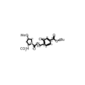 CO[C@@H]1C[C@@H](C(=O)O)N(C(=O)NCc2ccc(C(=O)OC(C)(C)C)cc2Cl)C1